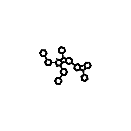 c1ccc(-c2cccc(-c3nc(-c4cccc(-c5ccccc5)c4)c4c5cc(-c6ccc7c(c6)c6ccccc6n7-c6ccccc6)ccc5n(-c5ccccc5)c4n3)c2)cc1